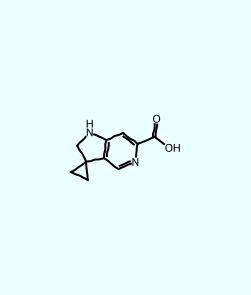 O=C(O)c1cc2c(cn1)C1(CC1)CN2